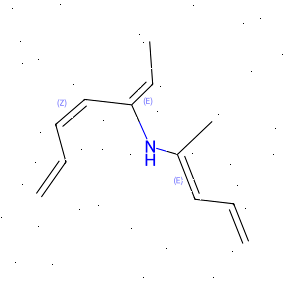 C=C/C=C\C(=C/C)N/C(C)=C/C=C